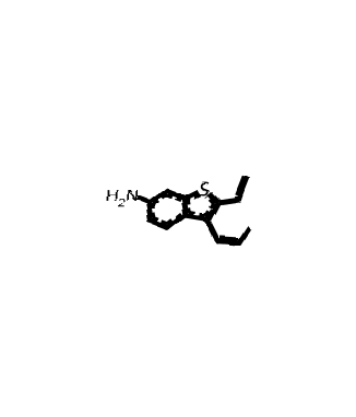 C=Cc1sc2cc(N)ccc2c1/C=C\C